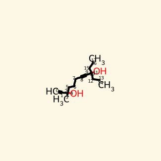 C#CC(C)(O)CCCC#CC(O)(CCC)CCC